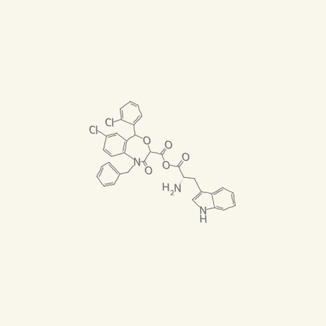 N[C@@H](Cc1c[nH]c2ccccc12)C(=O)OC(=O)C1OC(c2ccccc2Cl)c2cc(Cl)ccc2N(Cc2ccccc2)C1=O